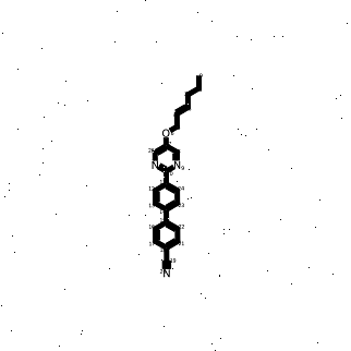 CCC/C=C/COc1cnc(-c2ccc(-c3ccc(C#N)cc3)cc2)nc1